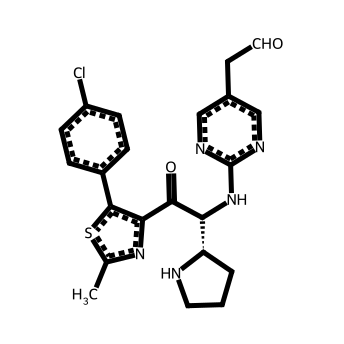 Cc1nc(C(=O)C(Nc2ncc(CC=O)cn2)[C@@H]2CCCN2)c(-c2ccc(Cl)cc2)s1